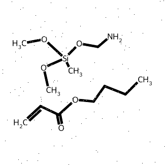 C=CC(=O)OCCCC.CO[Si](C)(OC)OCN